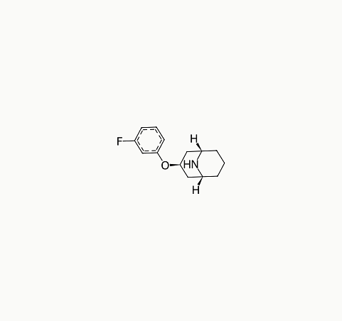 Fc1cccc(O[C@@H]2C[C@H]3CCC[C@@H](C2)N3)c1